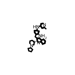 Cc1cc(Nc2ccc(Cc3c([C@H]4CCCN(C5CCCC5)C4)nc4ccccc4c3N)cc2)ccn1